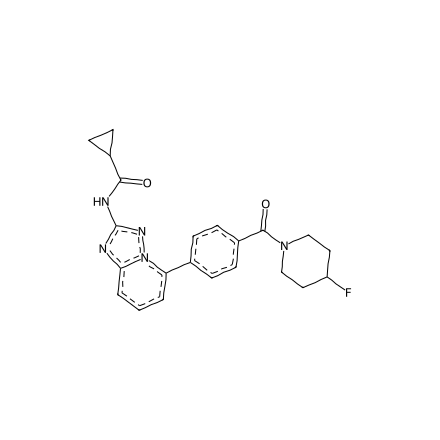 O=C(Nc1nc2cccc(-c3ccc(C(=O)N4CCC(F)CC4)cc3)n2n1)C1CC1